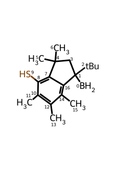 BC1(C(C)(C)C)CC(C)(C)c2c(S)c(C)c(C)c(C)c21